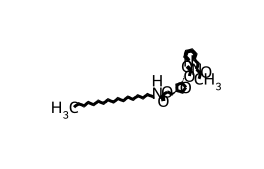 CCCCCCCCCCCCCCCCCNC(=O)OC[C@@H]1CO[C@@H](COC(=O)N(Cc2ccccn2)C(C)=O)C1